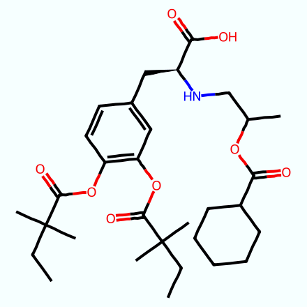 CCC(C)(C)C(=O)Oc1ccc(C[C@H](NCC(C)OC(=O)C2CCCCC2)C(=O)O)cc1OC(=O)C(C)(C)CC